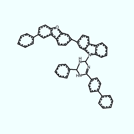 c1ccc(-c2ccc(C3=NC(n4c5ccccc5c5ccc(-c6ccc7c(c6)oc6ccc(-c8ccccc8)cc67)cc54)NC(c4ccccc4)N3)cc2)cc1